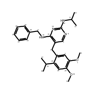 COc1cc(Cc2cnc(NC(C)C)nc2NCc2ccccc2)c(C(C)C)cc1OC